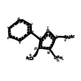 CC(=O)Nc1oc(-c2ccccc2)c(OC(C)=O)c1OC(C)=O